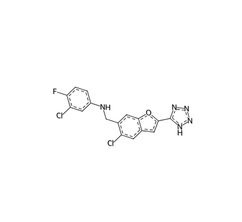 Fc1ccc(NCc2cc3oc(-c4nnn[nH]4)cc3cc2Cl)cc1Cl